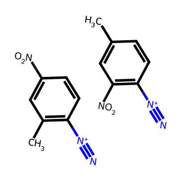 Cc1cc([N+](=O)[O-])ccc1[N+]#N.Cc1ccc([N+]#N)c([N+](=O)[O-])c1